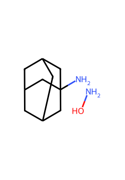 NC12CC3CC(CC(C3)C1)C2.NO